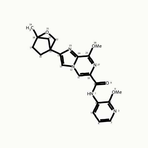 COc1ncccc1NC(=O)c1cn2cc(C34CCC(C)(C3)OC4)nc2c(OC)n1